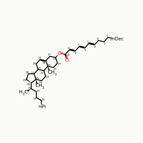 CCCCCCCCCCCCCC=CC=CC=CC(=O)OC1CC[C@@]2(C)C(=CCC3C2CC[C@@]2(C)C3CC[C@@H]2[C@H](C)CCCC(C)C)C1